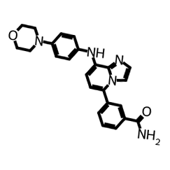 NC(=O)c1cccc(-c2ccc(Nc3ccc(N4CCOCC4)cc3)c3nccn23)c1